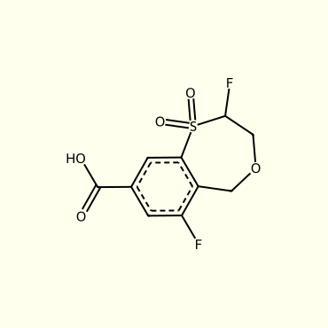 O=C(O)c1cc(F)c2c(c1)S(=O)(=O)C(F)COC2